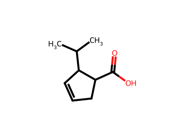 CC(C)C1C=CCC1C(=O)O